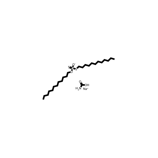 CCCCCCCCCCCCOP([O-])(=S)SCCCCCCCCCCCC.NC(=O)O.[Na+]